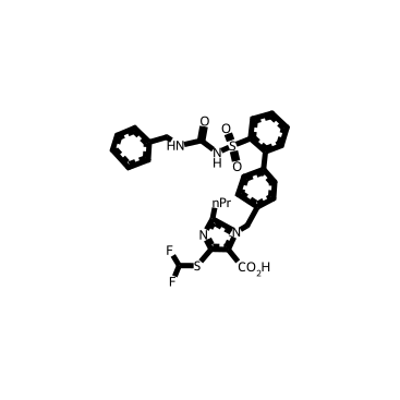 CCCc1nc(SC(F)F)c(C(=O)O)n1Cc1ccc(-c2ccccc2S(=O)(=O)NC(=O)NCc2ccccc2)cc1